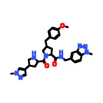 COc1ccc(CC2CC(C(=O)NCc3ccc4c(c3)nnn4C)N(C(=O)C3CC(c4cnn(C)c4)CN3)C2)cc1